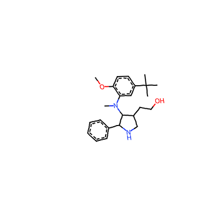 COc1ccc(C(C)(C)C)cc1N(C)C1C(CCO)CNC1c1ccccc1